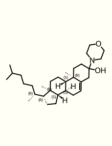 CC(C)CCC[C@@H](C)[C@H]1CC[C@H]2[C@@H]3CC=C4CC(O)(N5CCOCC5)CC[C@]4(C)[C@H]3CC[C@]12C